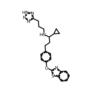 c1ccc2sc(Oc3ccc(CCC(NCCCc4nn[nH]n4)C4CC4)cc3)nc2c1